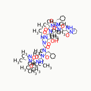 CCCCCN(CC(=O)N(C)[C@@H](Cc1ccccc1)C(=O)N(C)[C@@H](CC(C)C)C(=O)NC(COC(C)(C)C)C(=O)N(C)[C@@]1(CC(C)C)C=N1)C(=O)C(NC(=O)[C@H](C)N(C)C(=O)[C@@H](NC(=O)[C@H](Cc1ccccc1)N(C)C(=O)N(C)C(=O)C[C@H](N)C(=O)N1CCCCC1)C(C)C)[C@@H](C)O